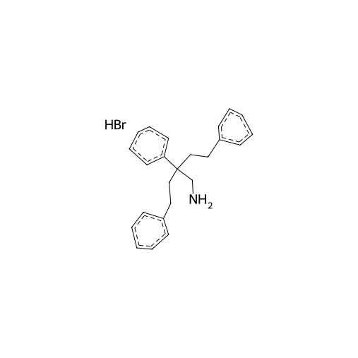 Br.NCC(CCc1ccccc1)(CCc1ccccc1)c1ccccc1